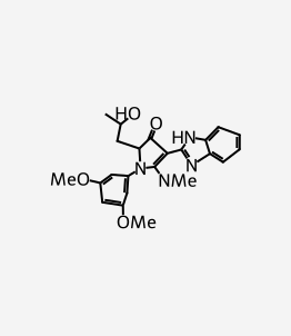 CNC1=C(c2nc3ccccc3[nH]2)C(=O)C(CC(C)O)N1c1cc(OC)cc(OC)c1